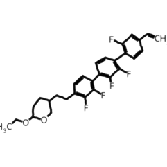 C=Cc1ccc(-c2ccc(-c3ccc(CCC4CCC(OCC)OC4)c(F)c3F)c(F)c2F)c(F)c1